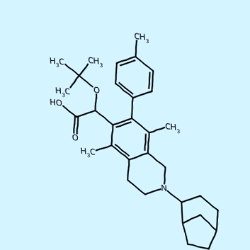 Cc1ccc(-c2c(C)c3c(c(C)c2C(OC(C)(C)C)C(=O)O)CCN(C2CCC4CCC2C4)C3)cc1